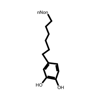 CCCCCCCCCCCCCCCc1ccc(O)c(O)c1